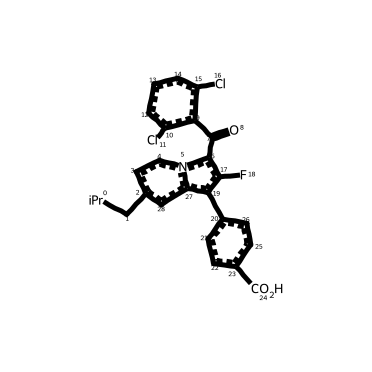 CC(C)Cc1ccn2c(C(=O)c3c(Cl)cccc3Cl)c(F)c(-c3ccc(C(=O)O)cc3)c2c1